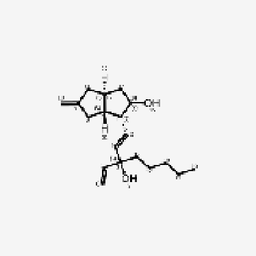 C=C[C@](O)(C=C[C@@H]1[C@@H]2CC(=C)C[C@H]2C[C@H]1O)CCCCC